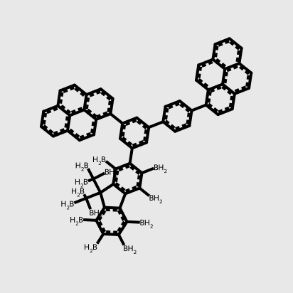 Bc1c(B)c(B)c2c(c1B)-c1c(B)c(B)c(-c3cc(-c4ccc(-c5ccc6ccc7cccc8ccc5c6c78)cc4)cc(-c4ccc5ccc6cccc7ccc4c5c67)c3)c(B)c1C2(C(B)(B)B)C(B)(B)B